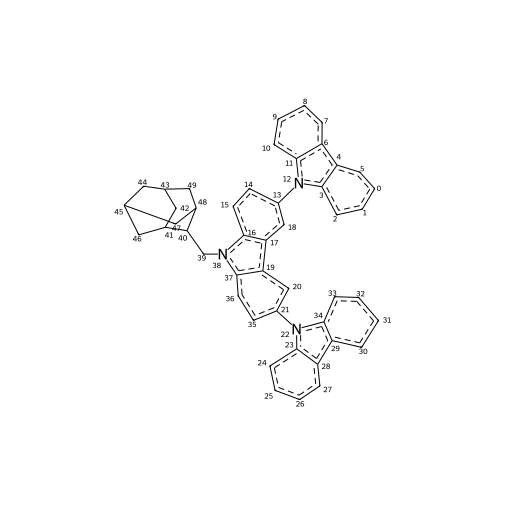 c1ccc2c(c1)c1ccccc1n2-c1ccc2c(c1)c1cc(-n3c4ccccc4c4ccccc43)ccc1n2CC1C2CC3CC(C2)CC1C3